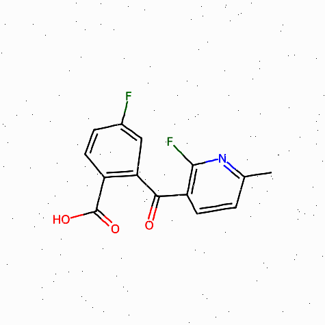 Cc1ccc(C(=O)c2cc(F)ccc2C(=O)O)c(F)n1